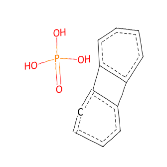 O=P(O)(O)O.c1ccc2c(c1)-c1ccccc1-2